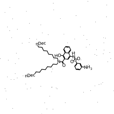 CCCCCCCCCCCCCCCCCCN(CCCCCCCCCCCCCCCCCC)C(=O)c1cc(NS(=O)(=O)c2cccc(N)c2)c2ccccc2c1O